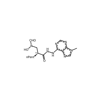 CCCCC[C@@H](CN(O)C=O)C(=O)NNc1ncnc2c1ncn2C